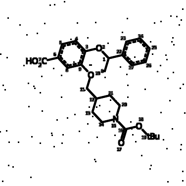 CC(Oc1ccc(C(=O)O)cc1OCC1CCN(C(=O)OC(C)(C)C)CC1)c1ccccc1